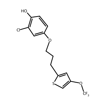 Oc1ccc(OCCCc2cc(OC(F)(F)F)cs2)cc1Cl